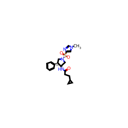 Cn1cnc(S(=O)(=O)N2C[C@H](NC(=O)CCC3CC3)[C@@H](c3ccccc3)C2)c1